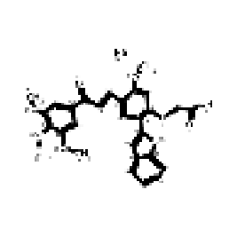 COc1cc(OCC(=O)O)c(-c2cc3ccccc3s2)cc1C=CC(=O)c1cc(OC)c(OC)c(OC)c1.[Na]